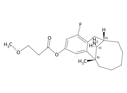 COCCC(=O)Oc1cc(F)c2c(c1)[C@@]1(C)CCCCC[C@@H](C2)[C@@H]1N